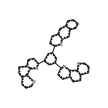 c1ccc2cc3nc(-c4cc(-c5ccc6ccc7cccnc7c6n5)cc(-c5ccc6ccc7cccnc7c6n5)c4)ccc3cc2c1